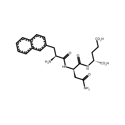 NC(=O)C[C@@H](NC(=O)[C@@H](N)Cc1ccc2ccccc2c1)C(=O)N[C@H](CCC(=O)O)C(=O)O